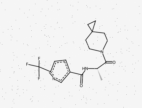 C[C@H](NC(=O)c1ccc(C(F)(F)F)nc1)C(=O)N1CCC2(CC1)CC2